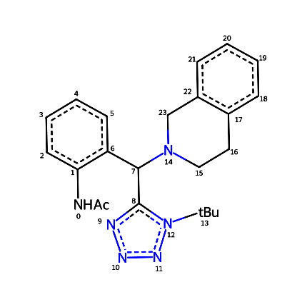 CC(=O)Nc1ccccc1C(c1nnnn1C(C)(C)C)N1CCc2ccccc2C1